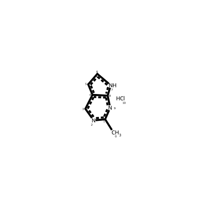 Cc1ncc2cc[nH]c2n1.Cl